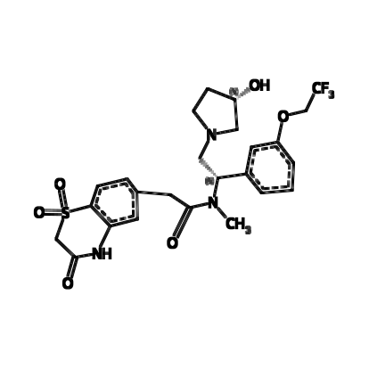 CN(C(=O)Cc1ccc2c(c1)NC(=O)CS2(=O)=O)[C@H](CN1CC[C@H](O)C1)c1cccc(OCC(F)(F)F)c1